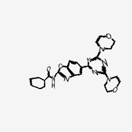 O=C(Nc1nc2cc(-c3nc(N4CCOCC4)nc(N4CCOCC4)n3)ccc2o1)C1CCCCC1